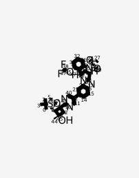 CC(C)(C)[Si](C)(C)O[C@]1(c2ncc(-c3ccc4nc5n(c4c3)[C@@H]3C[C@H]5N(S(C)(=O)=O)c4cccc(OC(F)F)c43)cn2)C[C@](C)(O)C1